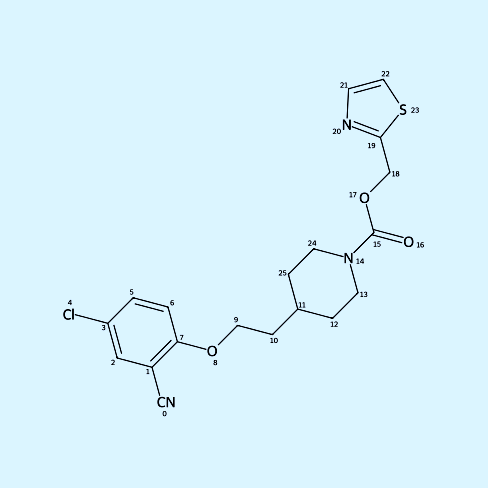 N#Cc1cc(Cl)ccc1OCCC1CCN(C(=O)OCc2nccs2)CC1